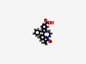 O=C(O)c1ccc2c(C3CCCCC3)c3n(c2c1)CCCN1C(=O)C2(CC2)c2cccc-3c21